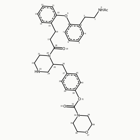 CC(=O)NCCc1ccccc1Oc1ccccc1CCC(=O)N1CCNCC1Cc1ccc(OC(=O)N2CCOCC2)cc1